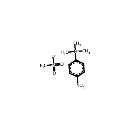 C[N+](C)(C)c1ccc([N+](=O)[O-])cc1.O=S(=O)([O-])C(F)(F)F